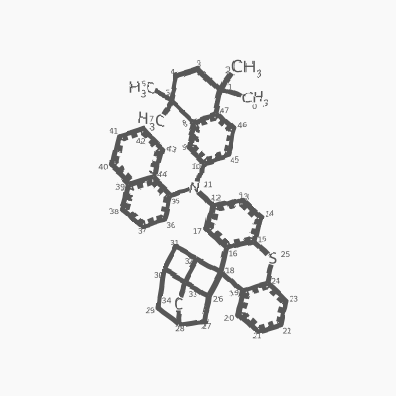 CC1(C)CCC(C)(C)c2cc(N(c3ccc4c(c3)C3(c5ccccc5S4)C4CC5CC6CC3C64C5)c3cccc4ccccc34)ccc21